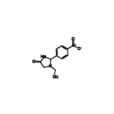 O=C1CN(CO)C(c2ccc([N+](=O)[O-])cc2)N1